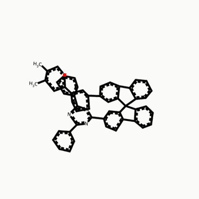 Cc1cnc(-c2cccc(-c3ccc4c(c3)C3(c5ccccc5-4)c4ccccc4-c4ccc(-c5nc(-c6ccccc6)nc(-c6ccccc6)n5)cc43)c2)cc1C